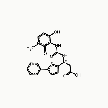 Cn1ccc(O)c(NC(=O)N[C@@H](CC(=O)O)c2ccc(-c3ccccc3)s2)c1=O